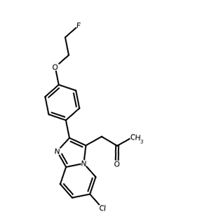 CC(=O)Cc1c(-c2ccc(OCCF)cc2)nc2ccc(Cl)cn12